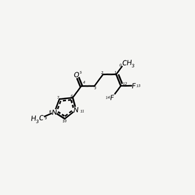 CC(CCC(=O)c1cn(C)cn1)=C(F)F